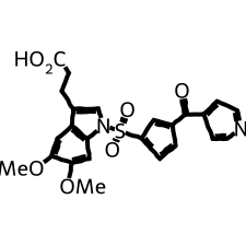 COc1cc2c(CCC(=O)O)cn(S(=O)(=O)c3cccc(C(=O)c4ccncc4)c3)c2cc1OC